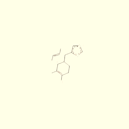 CC1=C(C)CC(Cc2c[nH]cn2)CC1.O=C(O)/C=C/C(=O)O